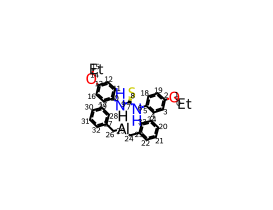 CCOc1ccc(NC(=S)Nc2ccc(OCC)cc2)cc1.c1ccc([CH2][AlH][CH2]c2ccccc2)cc1